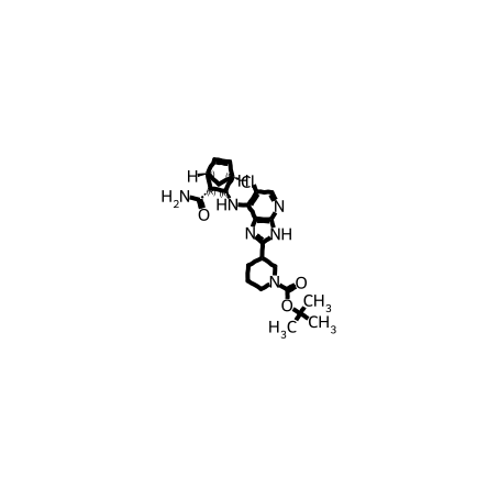 CC(C)(C)OC(=O)N1CCCC(c2nc3c(N[C@H]4[C@H](C(N)=O)[C@@H]5C=C[C@@H]4C5)c(Cl)cnc3[nH]2)C1